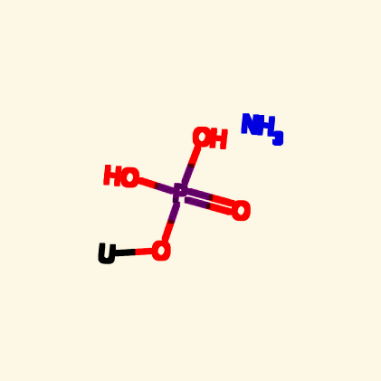 N.O=P(O)(O)[O][U]